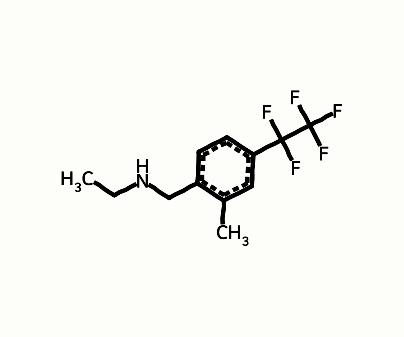 CCNCc1ccc(C(F)(F)C(F)(F)F)cc1C